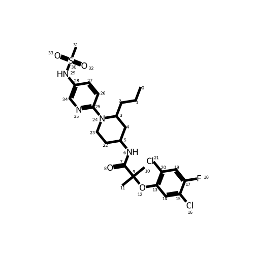 CCCC1CC(NC(=O)C(C)(C)Oc2cc(Cl)c(F)cc2Cl)CCN1c1ccc(NS(C)(=O)=O)cn1